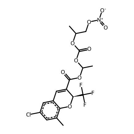 Cc1cc(Cl)cc2c1O[C@H](C(F)(F)F)C(C(=O)OC(C)OC(=O)OC(C)CO[N+](=O)[O-])=C2